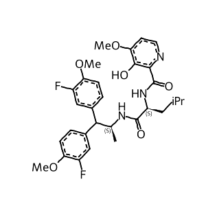 COc1ccc(C(c2ccc(OC)c(F)c2)[C@H](C)NC(=O)[C@H](CC(C)C)NC(=O)c2nccc(OC)c2O)cc1F